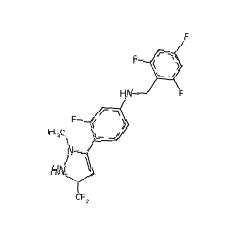 CN1NC(C(F)(F)F)C=C1c1ccc(NCc2c(F)cc(F)cc2F)cc1F